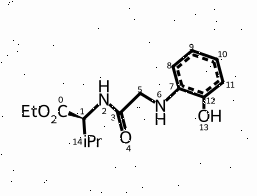 CCOC(=O)[C@@H](NC(=O)CNc1ccccc1O)C(C)C